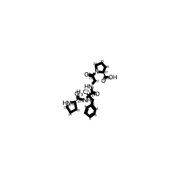 C[C@@](Cc1ccccc1)(NC(=O)[C@@H]1CCCN1)C(=O)NCC(=O)N1CCC[C@H]1C(=O)O